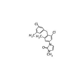 Cc1cc(Cl)cc(Cc2c(C)cc(-n3ccn(C)c3=O)cc2Cl)c1